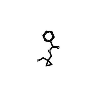 O=C(OCC1(CF)CC1)c1ccccc1